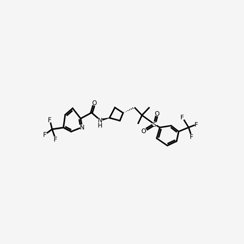 CC(C)(C[C@H]1C[C@H](NC(=O)c2ccc(C(F)(F)F)cn2)C1)S(=O)(=O)c1cccc(C(F)(F)F)c1